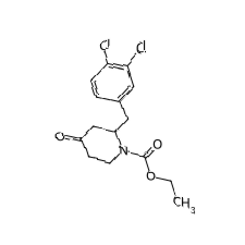 CCOC(=O)N1CCC(=O)CC1Cc1ccc(Cl)c(Cl)c1